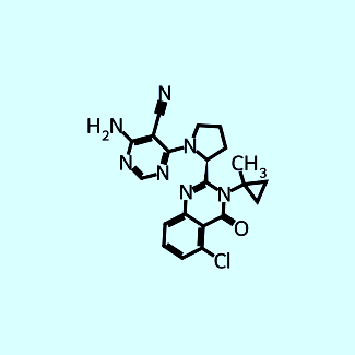 CC1(n2c([C@@H]3CCCN3c3ncnc(N)c3C#N)nc3cccc(Cl)c3c2=O)CC1